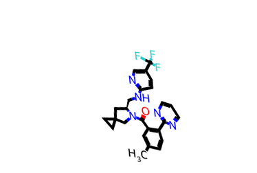 Cc1ccc(-c2ncccn2)c(C(=O)N2CC3(CC3)C[C@H]2CNc2ccc(C(F)(F)F)cn2)c1